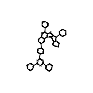 c1ccc(-c2nc(-c3ccccc3)nc(-c3ccc(-c4ccc5nc(-c6ccccc6)c6sc7c(c8ccccc8n7-c7ccccc7)c6c5c4)cc3)n2)cc1